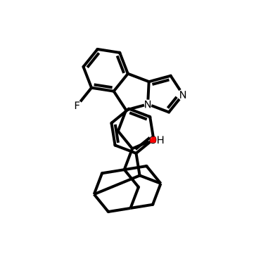 OC(CC1c2c(F)cccc2-c2cncn21)C12CC3CC(C1)C(c1ccccc1)C(C3)C2